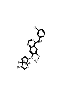 COc1cc2c(Nc3cccc(Cl)c3)ncnc2cc1OC1CO[C@H]2[C@H](F)CO[C@@H]12